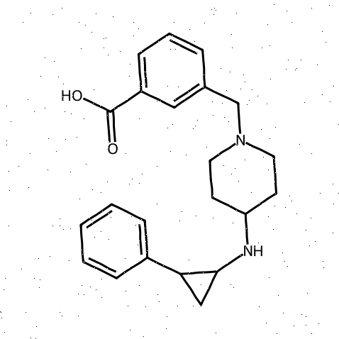 O=C(O)c1cccc(CN2CCC(NC3CC3c3ccccc3)CC2)c1